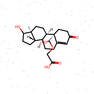 C[C@]12CC[C@@H]3[C@@H](CCC4=CC(=O)CC[C@@]43C(O)OCC(=O)O)[C@@H]1CCC2O